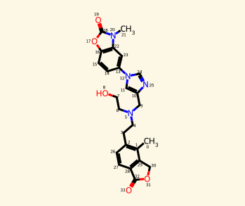 Cc1c(CCN(CCO)Cc2cn(-c3ccc4oc(=O)n(C)c4c3)cn2)ccc2c1COC2=O